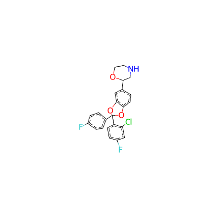 Fc1ccc(C2(c3ccc(F)cc3Cl)Oc3ccc(C4CNCCO4)cc3O2)cc1